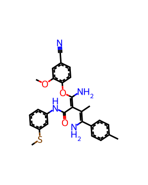 COc1cc(C#N)ccc1O/C(N)=C(C(=O)Nc1cccc(SC)c1)/C(C)=C(\N)c1ccc(C)cc1